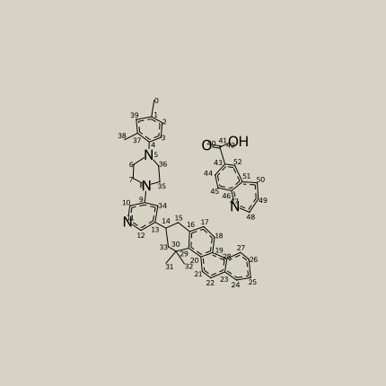 Cc1ccc(N2CCN(c3cncc(C4Cc5ccc6c(ccc7ccccc76)c5C(C)(C)C4)c3)CC2)c(C)c1.O=C(O)c1ccc2ncccc2c1